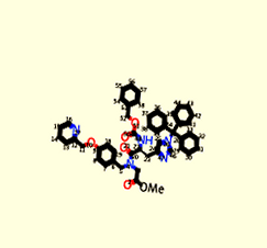 COC(=O)CN(Cc1ccc(OCc2ccccn2)cc1)C(=O)[C@H](Cc1cn(C(c2ccccc2)(c2ccccc2)c2ccccc2)cn1)NC(=O)OCc1ccccc1